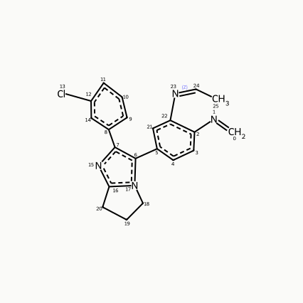 C=Nc1ccc(-c2c(-c3cccc(Cl)c3)nc3n2CCC3)cc1/N=C\C